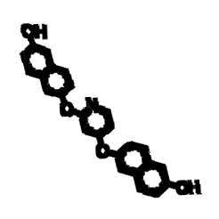 Oc1ccc2cc(Oc3ccnc(Oc4ccc5cc(O)ccc5c4)c3)ccc2c1